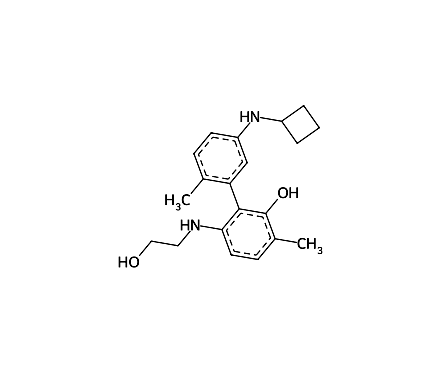 Cc1ccc(NC2CCC2)cc1-c1c(NCCO)ccc(C)c1O